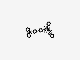 c1ccc(-c2nc(-c3ccc(-c4ccc(-n5c6ccccc6c6ccccc65)cc4)cc3)nc(-c3cc4ccccc4s3)n2)cc1